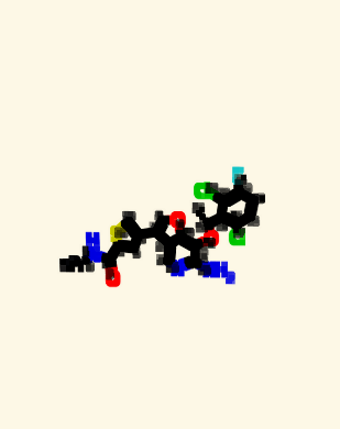 CCCNC(=O)c1cc(-c2coc3c(O[C@H](C)c4c(Cl)ccc(F)c4Cl)c(N)ncc23)cs1